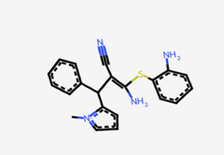 Cn1cccc1C(/C(C#N)=C(\N)Sc1ccccc1N)c1ccccc1